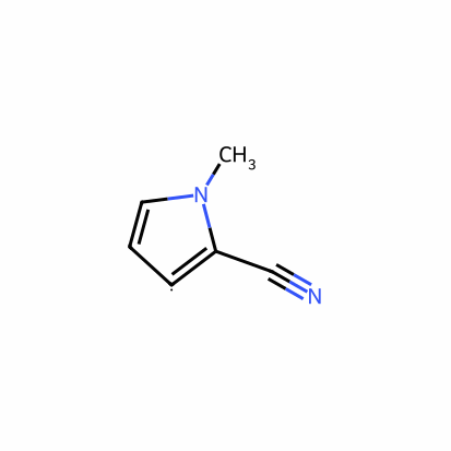 Cn1cc[c]c1C#N